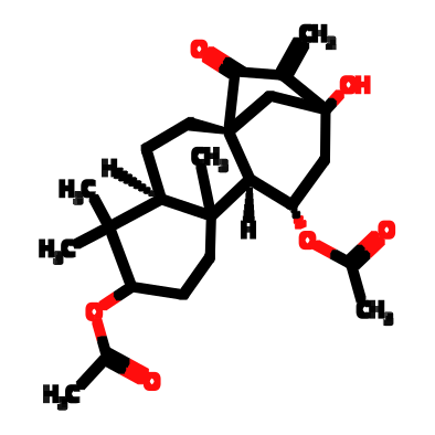 C=C1C(=O)[C@@]23CC[C@@H]4C(C)(C)C(OC(C)=O)CCC4(C)[C@@H]2[C@@H](OC(C)=O)CC1(O)C3